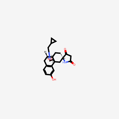 O=C1CC(=O)[C@@]2(CC[C@@]3(O)[C@H]4Cc5ccc(O)cc5[C@@]3(CCN4CC3CC3)C2)N1